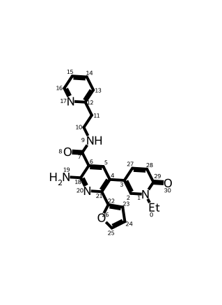 CCn1cc(-c2cc(C(=O)NCCc3ccccn3)c(N)nc2-c2ccco2)ccc1=O